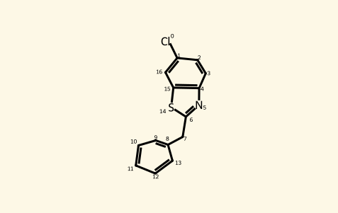 Clc1ccc2nc(Cc3ccccc3)sc2c1